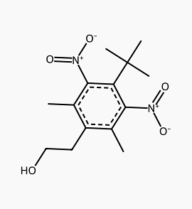 Cc1c(CCO)c(C)c([N+](=O)[O-])c(C(C)(C)C)c1[N+](=O)[O-]